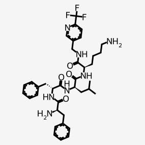 CC(C)C[C@@H](NC(=O)[C@@H](Cc1ccccc1)NC(=O)[C@H](N)Cc1ccccc1)C(=O)N[C@H](CCCCN)C(=O)NCc1ccc(C(F)(F)F)nc1